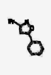 CC(C)c1cc(-c2ccccc2)on1